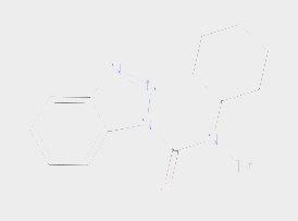 CCN(C(=O)n1nnc2ccccc21)C1CCCCC1